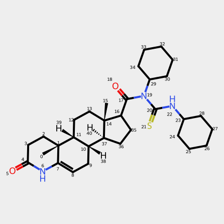 C[C@]12CCC(=O)NC1=CC[C@@H]1[C@H]2CC[C@]2(C)C(C(=O)N(C(=S)NC3CCCCC3)C3CCCCC3)CC[C@@H]12